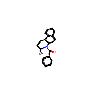 N#CC1C=Cc2c(ccc3ccccc23)N1C(=O)c1ccccc1